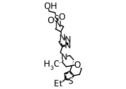 CCc1cc2c(s1)CCO[C@@]21CCN(Cc2cn(C3CN(S(=O)(=O)CCO)C3)nn2)[C@@H](C)C1